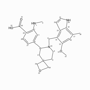 CNc1cc(C2CC3(CCN2Cc2c(OC)cc(C)c4[nH]ccc24)COC3)ccc1C(=O)O